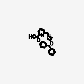 O=C(O)c1cccc(CN2CC(OC(c3ccccc3)c3ccccc3)C2)n1